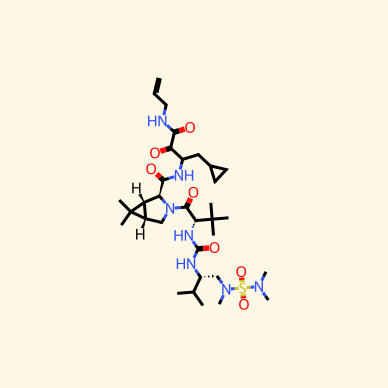 C=CCNC(=O)C(=O)C(CC1CC1)NC(=O)[C@@H]1[C@@H]2[C@H](CN1C(=O)[C@@H](NC(=O)N[C@H](CN(C)S(=O)(=O)N(C)C)C(C)C)C(C)(C)C)C2(C)C